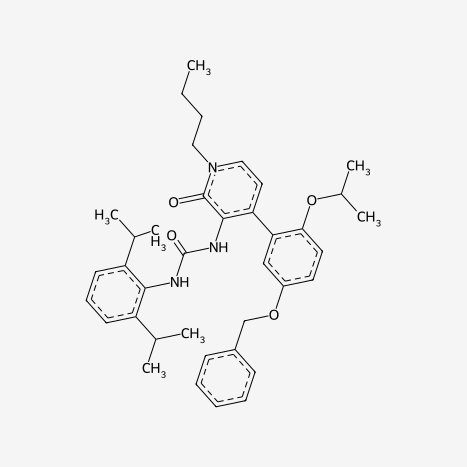 CCCCn1ccc(-c2cc(OCc3ccccc3)ccc2OC(C)C)c(NC(=O)Nc2c(C(C)C)cccc2C(C)C)c1=O